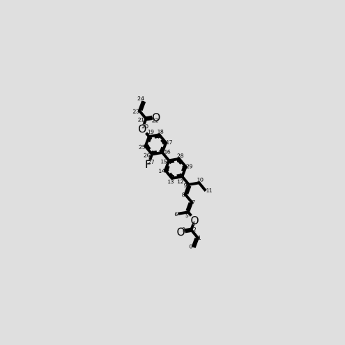 C=CC(=O)O/C(C)=C/C=C(\CC)c1ccc(-c2ccc(OC(=O)C=C)cc2F)cc1